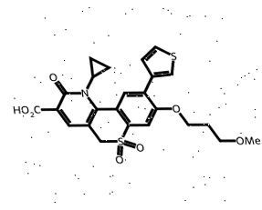 COCCCOc1cc2c(cc1-c1ccsc1)-c1c(cc(C(=O)O)c(=O)n1C1CC1)CS2(=O)=O